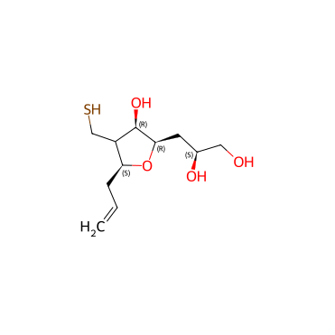 C=CC[C@@H]1O[C@H](C[C@H](O)CO)[C@H](O)C1CS